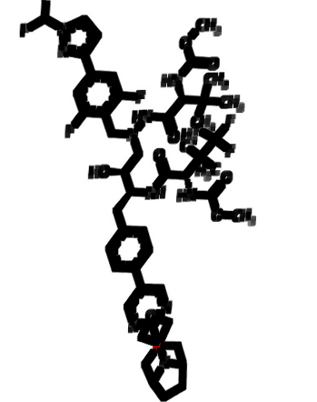 COC(=O)N[C@H](C(=O)NN(Cc1c(F)cc(-c2ccn(C(F)F)n2)cc1F)C[C@H](O)[C@H](Cc1ccc(-c2cnc(N3CC4CCC(C3)N4C3COC3)nc2)cc1)NC(=O)[C@@H](NC(=O)OC)C(C)(C)C(F)(F)F)C(C)(C)C